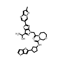 Cc1cc2ncc(-c3nc4c(s3)c(C(N)O)nn4CC(=O)N3CCCOC[C@H]3C(=S)NC3CCC(c4cc5sccc5s4)C3)cn2n1